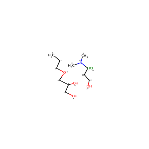 CCCOCC(O)CO.CN(C)CCCO.Cl